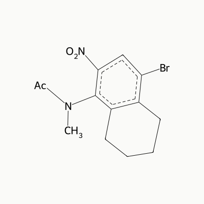 CC(=O)N(C)c1c([N+](=O)[O-])cc(Br)c2c1CCCC2